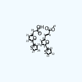 COC(=O)C=Cc1ccc(-c2cccs2)o1.O=C(O)Cc1ccc(-c2cccs2)o1